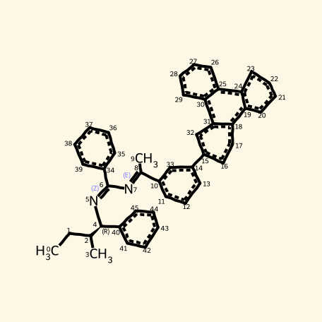 CCC(C)[C@@H](/N=C(\N=C(/C)c1cccc(-c2ccc3c4ccccc4c4ccccc4c3c2)c1)c1ccccc1)c1ccccc1